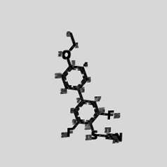 CCOc1ccc(-c2cc(F)c(SC#N)c(F)c2)cc1